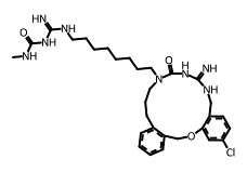 CNC(=O)NC(=N)NCCCCCCCCN1CCCc2ccccc2COc2cc(Cl)ccc2CNC(=N)NC1=O